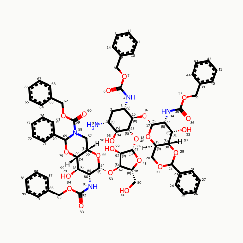 N[C@@H]1C[C@H](NC(=O)OCc2ccccc2)[C@@H](O[C@H]2O[C@@H]3COC(c4ccccc4)O[C@H]3[C@@H](O)[C@H]2NC(=O)OCc2ccccc2)[C@H](O[C@@H]2O[C@H](CO)[C@@H](O[C@H]3O[C@H]4CN(C(=O)OCc5ccccc5)C(c5ccccc5)O[C@H]4[C@H](O)[C@H]3NC(=O)OCc3ccccc3)[C@H]2O)[C@H]1O